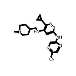 CN1CCC(CNc2cc(Nc3cnc(C#N)cn3)nnc2C2CC2)CC1